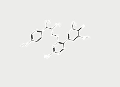 COc1ccc([C@@H](C)C(C)COc2nc(C)ncc2-c2cc(OC)c(=O)n(C)c2)nc1